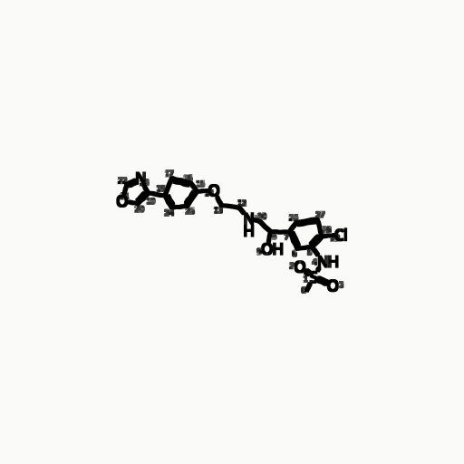 CS(=O)(=O)Nc1cc(C(O)CNCCOc2ccc(-c3cocn3)cc2)ccc1Cl